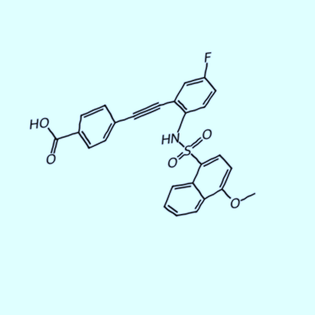 COc1ccc(S(=O)(=O)Nc2ccc(F)cc2C#Cc2ccc(C(=O)O)cc2)c2ccccc12